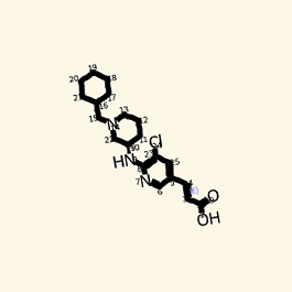 O=C(O)/C=C/c1cnc(N[C@@H]2CCCN(CC3CCCCC3)C2)c(Cl)c1